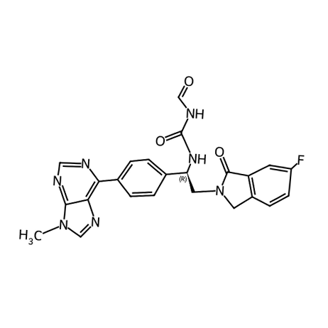 Cn1cnc2c(-c3ccc([C@H](CN4Cc5ccc(F)cc5C4=O)NC(=O)NC=O)cc3)ncnc21